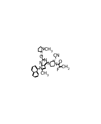 C=C(F)C(=O)N1CCN(c2nc(OC[C@@H]3CCCN3C)nc3c2cc(C)n3-c2cccc3ccccc23)C[C@@H]1CC#N